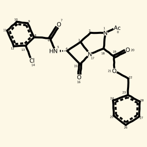 CC(=O)N1CC2[C@@H](NC(=O)c3ccccc3Cl)C(=O)N2C1C(=O)OCc1ccccc1